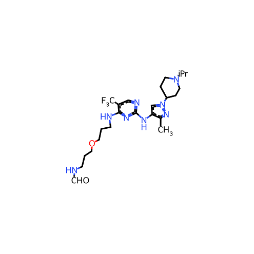 Cc1nn(C2CCN(C(C)C)CC2)cc1Nc1ncc(C(F)(F)F)c(NCCCOCCCNC=O)n1